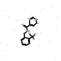 O=C(NCc1ccccc1C(F)(F)F)C1=CCNC=N1